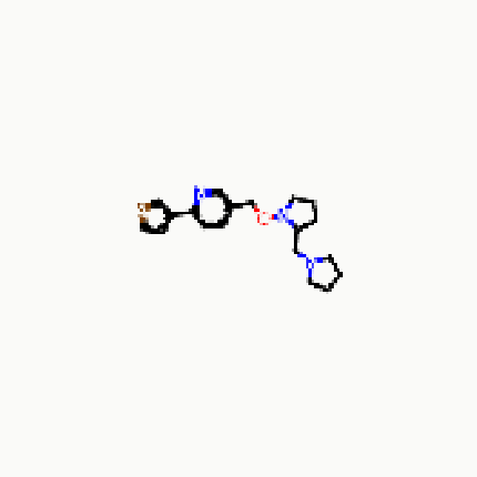 c1cc(-c2ccc(CON3CCCC3CN3CCCC3)cn2)cs1